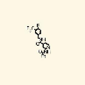 CCC(=O)Nc1cc(C(=O)NCc2ccc(F)c(C(F)(F)F)c2)ccn1